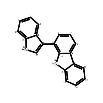 c1ccc2c(-c3cccc4c3[nH]c3ccccc34)c[nH]c2c1